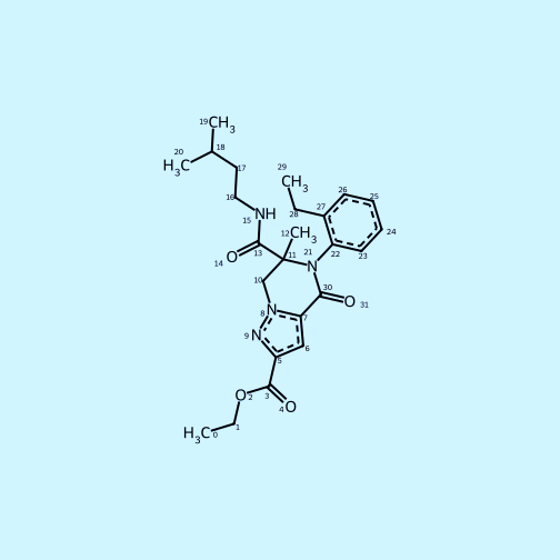 CCOC(=O)c1cc2n(n1)CC(C)(C(=O)NCCC(C)C)N(c1ccccc1CC)C2=O